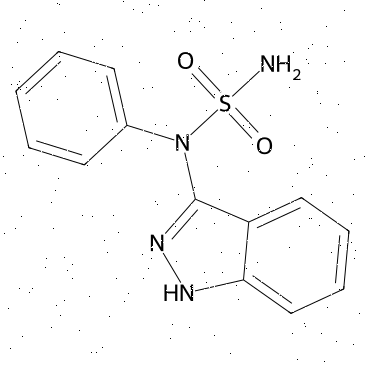 NS(=O)(=O)N(c1ccccc1)c1n[nH]c2ccccc12